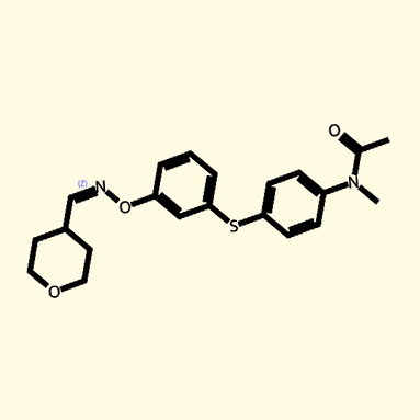 CC(=O)N(C)c1ccc(Sc2cccc(O/N=C\C3CCOCC3)c2)cc1